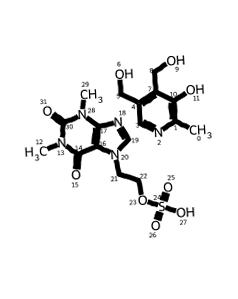 Cc1ncc(CO)c(CO)c1O.Cn1c(=O)c2c(ncn2CCOS(=O)(=O)O)n(C)c1=O